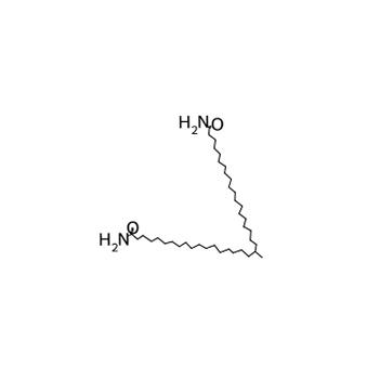 CC(CCCCCCCCCCCCCCCCCCC(N)=O)CCCCCCCCCCCCCCCCCC(N)=O